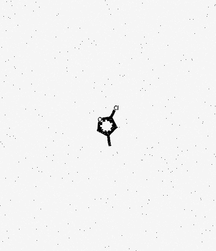 Cc1[c]c(Cl)oc1